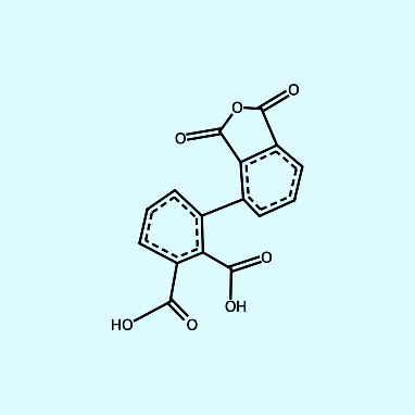 O=C(O)c1cccc(-c2cccc3c2C(=O)OC3=O)c1C(=O)O